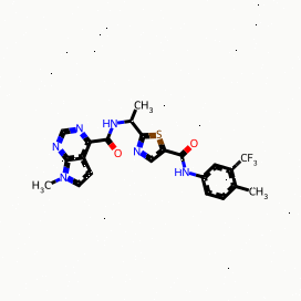 Cc1ccc(NC(=O)c2cnc(C(C)NC(=O)c3ncnc4c3ccn4C)s2)cc1C(F)(F)F